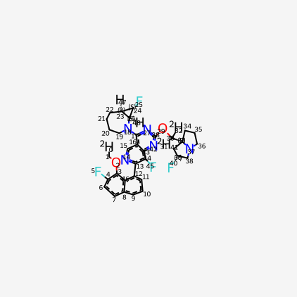 [2H]COc1c(F)ccc2cccc(-c3ncc4c(N5CCCC[C@H]6[C@H](F)[C@H]65)nc(OC([2H])([2H])[C@@]56CCCN5C[C@H](F)C6)nc4c3F)c12